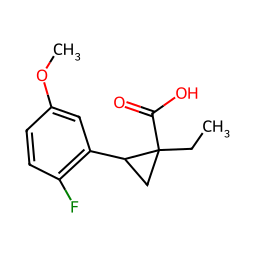 CCC1(C(=O)O)CC1c1cc(OC)ccc1F